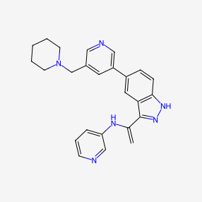 C=C(Nc1cccnc1)c1n[nH]c2ccc(-c3cncc(CN4CCCCC4)c3)cc12